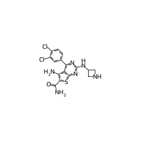 NC(=O)c1sc2nc(NC3CNC3)nc(-c3ccc(Cl)c(Cl)c3)c2c1N